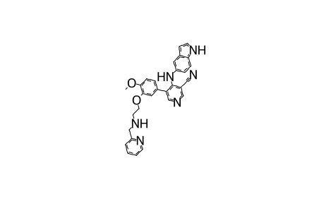 COc1ccc(-c2cncc(C#N)c2Nc2ccc3[nH]ccc3c2)cc1OCCNCc1ccccn1